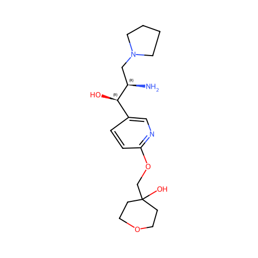 N[C@H](CN1CCCC1)[C@H](O)c1ccc(OCC2(O)CCOCC2)nc1